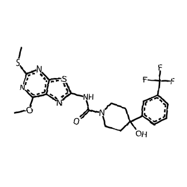 COc1nc(SC)nc2sc(NC(=O)N3CCC(O)(c4cccc(C(F)(F)F)c4)CC3)nc12